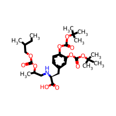 CCC(C)COC(=O)OC(C)CN[C@@H](Cc1ccc(OC(=O)OC(C)(C)C)c(OC(=O)OC(C)(C)C)c1)C(=O)O